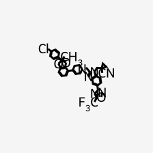 CC1(c2ccc(Cl)cc2)Oc2cccc(C3=CCN(Cc4nc5cc(-c6noc(C(F)(F)F)n6)ccc5n4CC4(C#N)CC4)CC3)c2O1